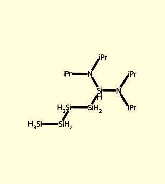 CC(C)N(C(C)C)[SiH]([SiH2][SiH2][SiH2][SiH3])N(C(C)C)C(C)C